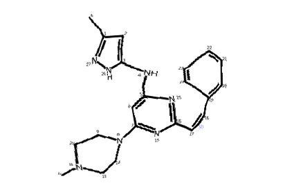 Cc1cc(Nc2cc(N3CCN(C)CC3)nc(/C=C\c3ccccc3)n2)[nH]n1